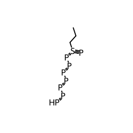 CCCS(#P)=PP=PP=PP=P